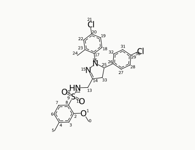 COc1cc(C)ccc1S(=O)(=O)NCC1=NN(c2ccc(Cl)cc2C)C(c2ccc(Cl)cc2)C1